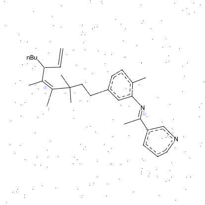 C=CC(CCCC)/C(C)=C(/C)C(C)(C)CCc1ccc(C)c(/N=C(\C)c2cccnc2)c1